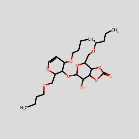 CCCCOCC1OC=CC(OCCCC)C1OC1OC(COCCCC)C2OC(=O)OC2C1O